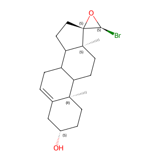 C[C@]12CC[C@H](O)CC1=CCC1C2CC[C@@]2(C)C1CC[C@]21O[C@H]1Br